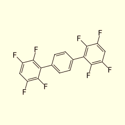 Fc1cc(F)c(F)c(-c2ccc(-c3c(F)c(F)cc(F)c3F)cc2)c1F